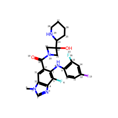 Cn1cnc2c(F)c(Nc3ccc(I)cc3F)c(C(=O)N3CC(O)(C4CCCCN4)C3)cc21